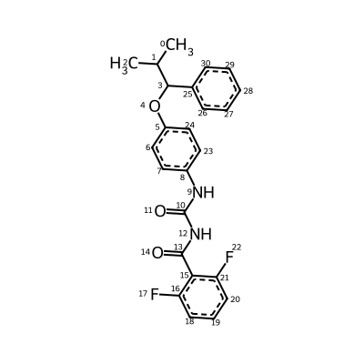 CC(C)C(Oc1ccc(NC(=O)NC(=O)c2c(F)cccc2F)cc1)c1ccccc1